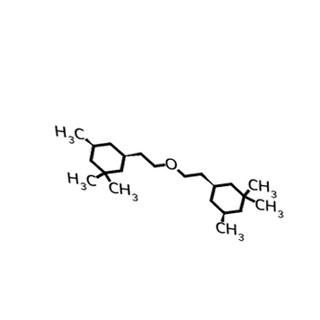 C[C@H]1C[C@@H](CCOCC[C@@H]2C[C@H](C)CC(C)(C)C2)CC(C)(C)C1